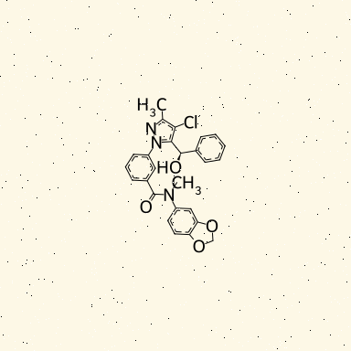 Cc1nn(-c2cccc(C(=O)N(C)c3ccc4c(c3)OCO4)c2)c([C@H](O)c2ccccc2)c1Cl